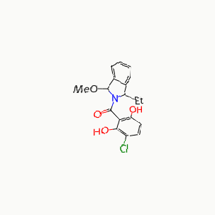 CCC1c2ccccc2C(OC)N1C(=O)c1c(O)ccc(Cl)c1O